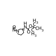 CC(C)(C)OC(=O)N[C@@H]1CCCN(N=O)C1